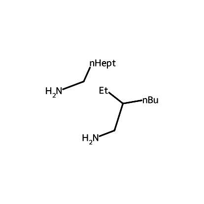 CCCCC(CC)CN.CCCCCCCCN